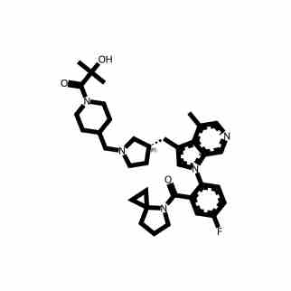 Cc1cncc2c1c(C[C@@H]1CCN(CC3CCN(C(=O)C(C)(C)O)CC3)C1)cn2-c1ccc(F)cc1C(=O)N1CCCC12CC2